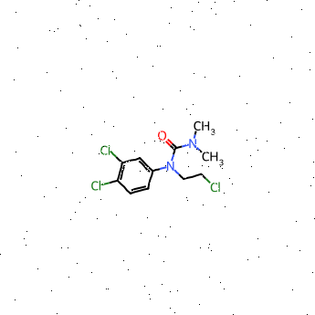 CN(C)C(=O)N(CCCl)c1ccc(Cl)c(Cl)c1